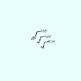 CC(=O)CC(=O)[O-].CC(=O)CC(=O)[O-].CC(=O)CC(=O)[O-].[Co+3]